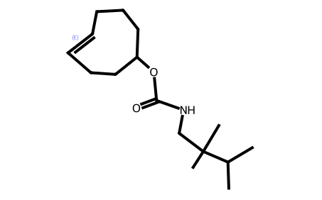 CC(C)C(C)(C)CNC(=O)OC1CC/C=C/CCC1